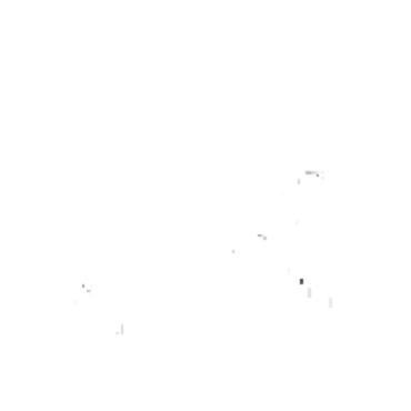 Cl.N=C(N)c1ccc(CNC(=O)[C@]23C[C@H]2CCN3C(=O)[C@H](O)CC2CCCCC2)cc1